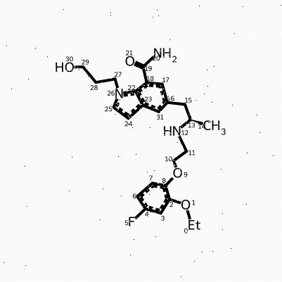 CCOc1cc(F)ccc1OCCN[C@H](C)Cc1cc(C(N)=O)c2c(ccn2CCCO)c1